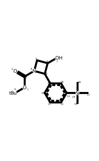 CC(C)(C)OC(=O)N1CC(O)C1c1cccc([Si](C)(C)C)c1